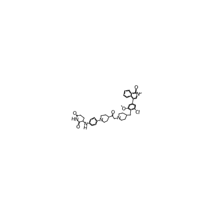 COc1cc(-c2cn(C)c(=O)c3ccccc23)cc(Cl)c1CC1CCN(CC(=O)C2CCN(c3ccc(NC4CCC(=O)NC4=O)cc3)CC2)CC1